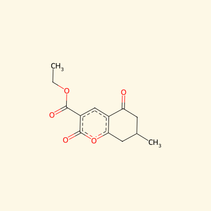 CCOC(=O)c1cc2c(oc1=O)CC(C)CC2=O